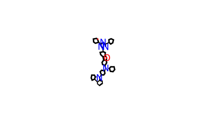 C1=CCC2C(=C1)N(c1ccc(N(c3ccccc3)c3ccc4c(c3)oc3cc(-c5nc(-c6ccccc6)nc(-c6ccccc6)n5)ccc34)cc1)c1ccccc12